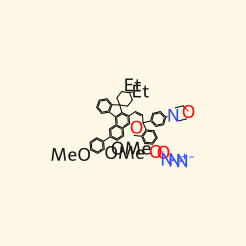 CCC1(CC)CCC2(CC1)c1ccccc1-c1c2c2c(c3cc(OC)c(-c4ccc(OC)cc4OC)cc13)OC(c1ccc(N3CCOCC3)cc1)(c1ccc(OON=[N+]=[N-])cc1C)C=C2